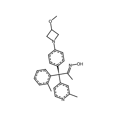 COC1CN(c2ccc([C@@](C(C)=NO)(c3ccnc(C)c3)c3ccccc3C)cc2)C1